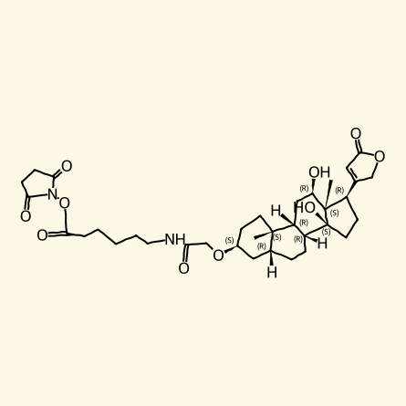 C[C@]12CC[C@H](OCC(=O)NCCCCCC(=O)ON3C(=O)CCC3=O)C[C@H]1CC[C@@H]1[C@H]2C[C@@H](O)[C@]2(C)[C@@H](C3=CC(=O)OC3)CC[C@]12O